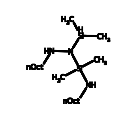 CCCCCCCCNN([SiH](C)C)[Si](C)(C)NCCCCCCCC